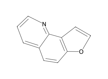 c1cnc2c(c1)ccc1occc12